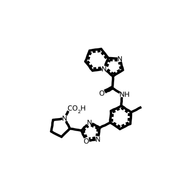 Cc1ccc(-c2noc(C3CCCN3C(=O)O)n2)cc1NC(=O)c1cnc2ccccn12